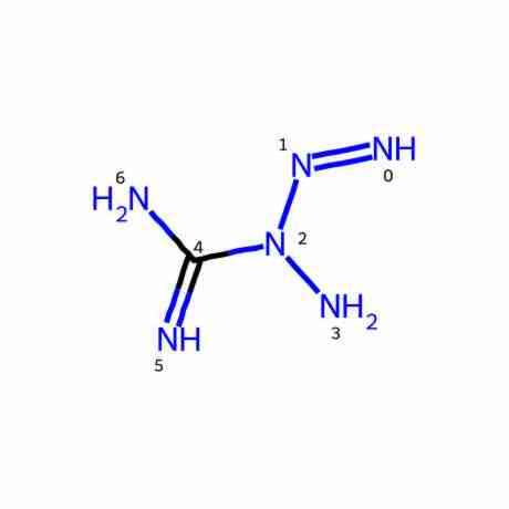 N=NN(N)C(=N)N